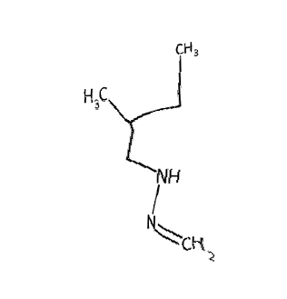 C=NNCC(C)CC